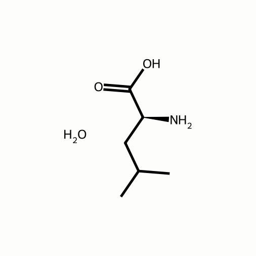 CC(C)C[C@H](N)C(=O)O.O